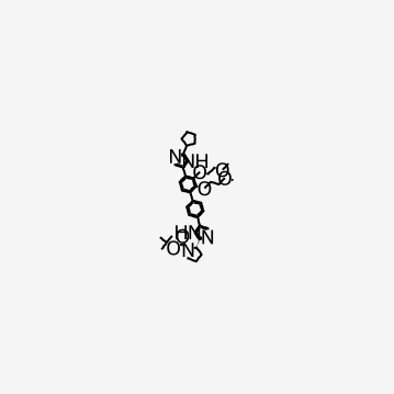 COCCOc1c(-c2ccc(-c3cnc([C@@H]4CCCN4C(=O)OC(C)(C)C)[nH]3)cc2)ccc(-c2cnc(C3CCCC3)[nH]2)c1OCCOC